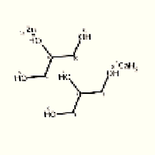 OCC(O)CO.OCC(O)CO.[CaH2].[Zn]